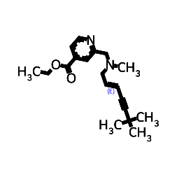 CCOC(=O)c1ccnc(CN(C)C/C=C/C#CC(C)(C)C)c1